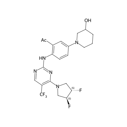 CC(=O)c1cc(N2CCCC(O)C2)ccc1Nc1ncc(C(F)(F)F)c(N2C[C@H](F)[C@@H](F)C2)n1